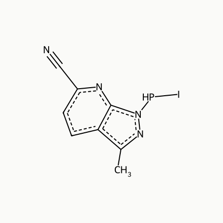 Cc1nn(PI)c2nc(C#N)ccc12